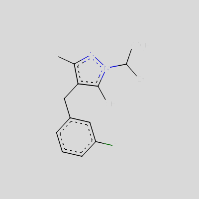 CCC(C(=O)O)n1nc(C(C)C)c(Cc2cccc(F)c2)c1C